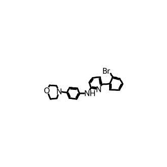 Brc1ccccc1-c1cccc(Nc2ccc(N3CCOCC3)cc2)n1